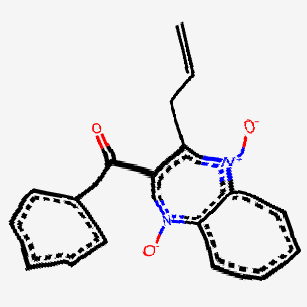 C=CCc1c(C(=O)c2ccccc2)[n+]([O-])c2ccccc2[n+]1[O-]